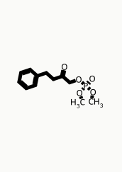 COP(=O)(OC)OCC(=O)CCc1ccccc1